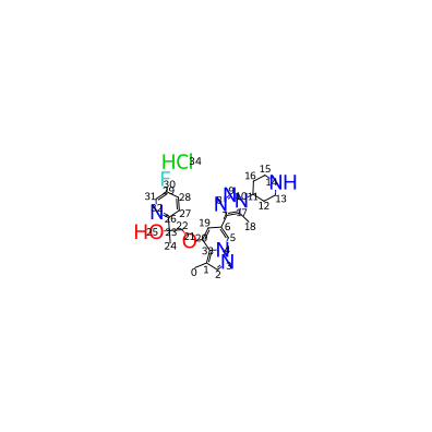 Cc1cnn2cc(-c3nnn(C4CCNCC4)c3C)cc(OCC(C)(O)c3ccc(F)cn3)c12.Cl